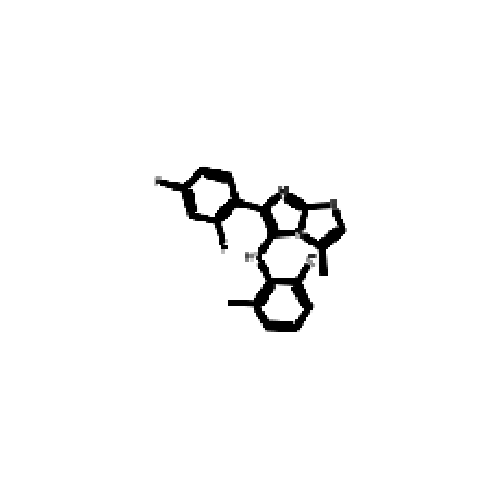 Cc1cccc(Cl)c1Nc1c(-c2ccc(F)cc2F)nc2scc(C)n12